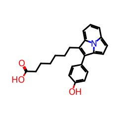 O=C(O)CCCCCCc1c(-c2ccc(O)cc2)c2ccc3cccc1n32